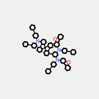 c1ccc(-c2ccc(N(c3cc(-c4cccc5c4-c4ccccc4C54c5ccccc5-c5c(N(c6ccc(-c7ccccc7)cc6)c6cccc(-c7ccccc7)c6)cccc54)cc(N(c4ccc(-c5ccccc5)cc4)c4ccc5oc6ccccc6c5c4)c3)c3ccc4oc5ccccc5c4c3)cc2)cc1